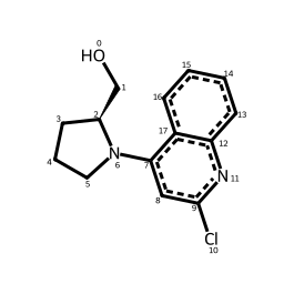 OC[C@@H]1CCCN1c1cc(Cl)nc2ccccc12